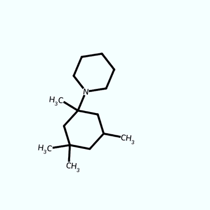 CC1CC(C)(C)CC(C)(N2CCCCC2)C1